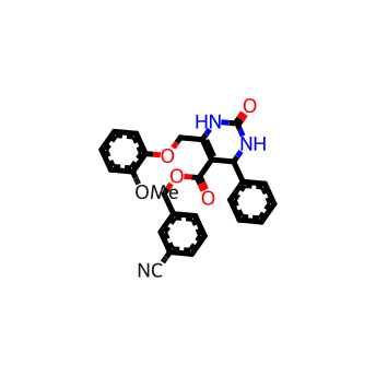 COc1ccccc1OCC1=C(C(=O)OCc2cccc(C#N)c2)C(c2ccccc2)NC(=O)N1